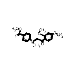 COC(=O)c1ccc(N(C)CC(=O)c2ccc(OC)cc2OC)cc1